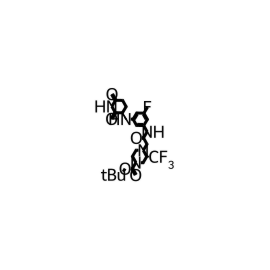 CC(C)(C)OC(=O)N1CCN(CC(=O)Nc2cc(F)cc(N[C@@H]3CCC(=O)NC3=O)c2)[C@@H](C(F)(F)F)C1